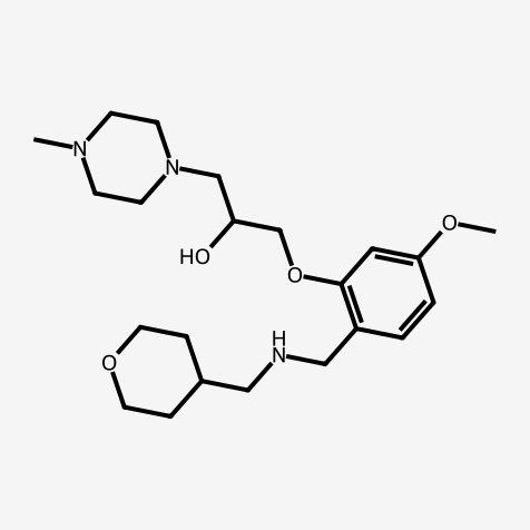 COc1ccc(CNCC2CCOCC2)c(OCC(O)CN2CCN(C)CC2)c1